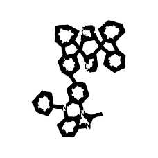 Cc1nc2cccc3c2n1-c1ccc(-c2ccc4c(c2)C2(c5ccccc5-4)c4ccccc4C4(c5ccccc5-c5ccccc54)c4ccccc42)cc1N3c1ccccc1